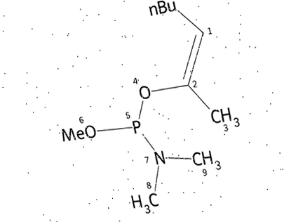 CCCCC=C(C)OP(OC)N(C)C